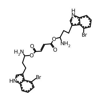 NC(CCc1c[nH]c2cccc(Br)c12)OC(=O)/C=C/C(=O)OC(N)CCc1c[nH]c2cccc(Br)c12